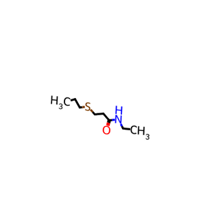 CCCSCCC(=O)NCC